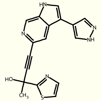 CC(O)(C#Cc1cc2c(-c3cn[nH]c3)c[nH]c2cn1)c1nccs1